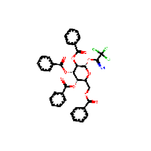 N=C(O[C@@H]1OC(COC(=O)c2ccccc2)[C@H](OC(=O)c2ccccc2)[C@H](OC(=O)c2ccccc2)C1OC(=O)c1ccccc1)C(Cl)(Cl)Cl